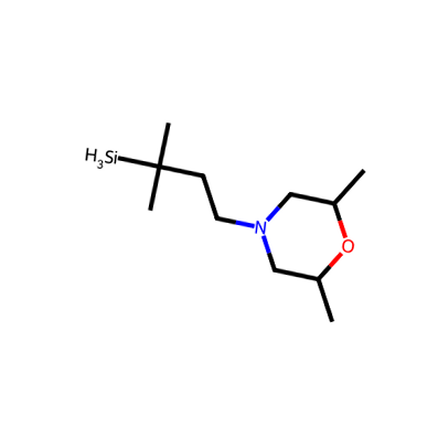 CC1CN(CCC(C)(C)[SiH3])CC(C)O1